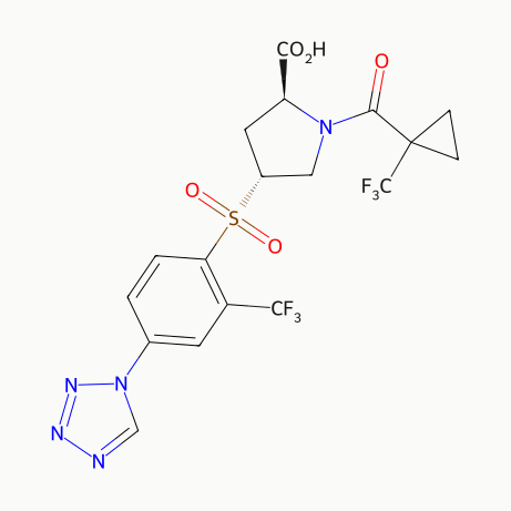 O=C(O)[C@@H]1C[C@@H](S(=O)(=O)c2ccc(-n3cnnn3)cc2C(F)(F)F)CN1C(=O)C1(C(F)(F)F)CC1